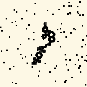 CCCS(=O)(=O)N1CCN(S(=O)(=O)NCCOc2ccc3c(c2)C(C2(c4ccc(Cl)cc4)CCC2)NCC3)CC1